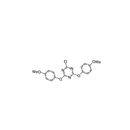 COc1ccc(Oc2nc(Cl)nc(Oc3ccc(OC)cc3)n2)cc1